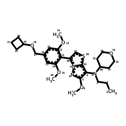 CCCN(c1c(OC)nn2c(-c3c(OC)cc(COC4CCC4)cc3OC)csc12)C1CCOCC1